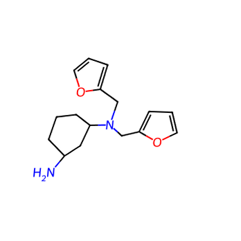 NC1CCCC(N(Cc2ccco2)Cc2ccco2)C1